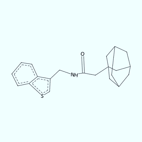 O=C(CC12CC3CC(CC(C3)C1)C2)NCc1csc2ccccc12